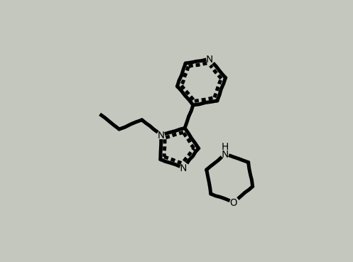 C1COCCN1.CCCn1cncc1-c1ccncc1